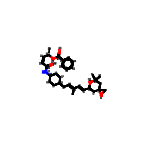 CC(/C=C/[C@@H]1C[C@]2(CO2)CC(C)(C)O1)=C\CC1CCC(NC(=O)/C=C\[C@H](C)OC(=O)c2ccccc2)CC1